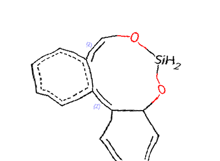 C1=C/C2=c3\cccc\c3=C\O[SiH2]OC2C=C1